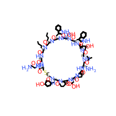 CCCC[C@H]1C(=O)N(C)[C@@H](CCCC)C(=O)N[C@@H](C)C(=O)N[C@H](C(=O)NCC(N)=O)CSCC(=O)N[C@@H](Cc2ccc(O)cc2)C(=O)N2CCCC[C@H]2C(=O)N[C@@H](CC(=O)O)C(=O)N2CCC[C@H]2C(=O)N[C@@H](CN)C(=O)N[C@@H](CC(C)C)C(=O)N2C[C@H](O)C[C@H]2C(=O)N[C@@H](Cc2c[nH]c3ccccc23)C(=O)N[C@@H](CO)C(=O)N[C@@H](Cc2c[nH]c3ccccc23)C(=O)N1C